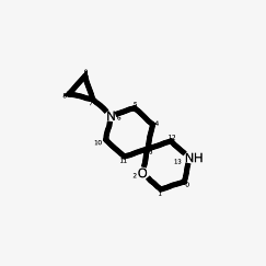 C1COC2(CCN(C3CC3)CC2)CN1